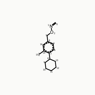 C=NOCc1ccc(C2CCCCC2)c(I)c1